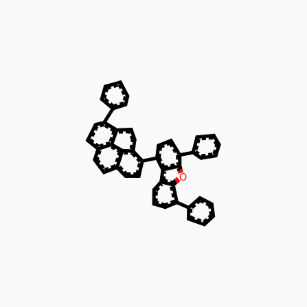 c1ccc(-c2ccc3ccc4ccc(-c5ccc(-c6ccccc6)c6oc7c(-c8ccccc8)cccc7c56)c5ccc2c3c45)cc1